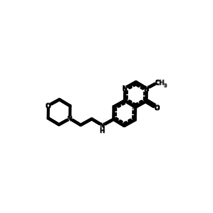 Cn1cnc2cc(NCCN3CCOCC3)ccc2c1=O